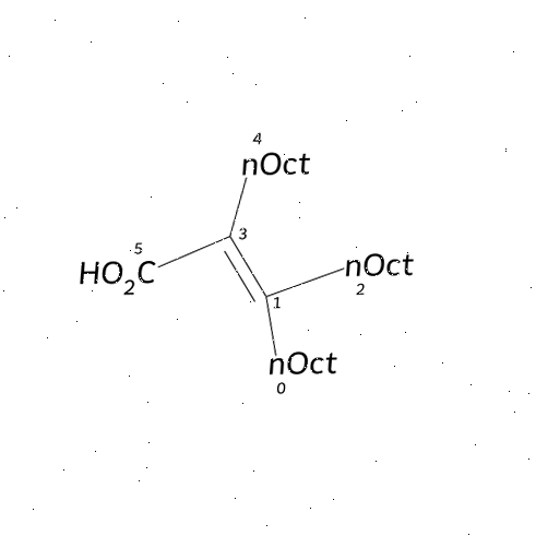 CCCCCCCCC(CCCCCCCC)=C(CCCCCCCC)C(=O)O